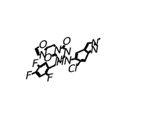 Cn1cc2cc(Nc3nc(=O)n(Cc4ncco4)c(=O)n3Cc3cc(F)c(F)cc3F)c(Cl)cc2n1